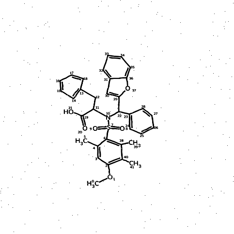 COc1cc(C)c(S(=O)(=O)N(C(Cc2ccccc2)C(=O)O)C(c2ccccc2)c2cc3ccccc3o2)c(C)c1C